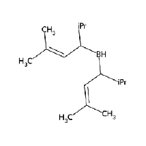 CC(C)=CC(BC(C=C(C)C)C(C)C)C(C)C